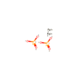 O=[PH]([O-])[O-].O=[PH]([O-])[O-].[Fe+2].[Fe+2]